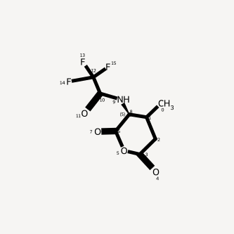 CC1CC(=O)OC(=O)[C@H]1NC(=O)C(F)(F)F